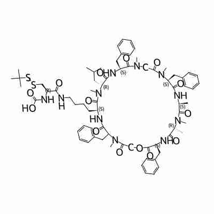 CC(C)C[C@@H]1C(=O)N[C@@H](Cc2ccccc2)C(=O)N(C)CC(=O)N(C)[C@@H](Cc2ccccc2)C(=O)N[C@@H](C)C(=O)N(C)[C@H](C)C(=O)N[C@@H](Cc2ccccc2)C(=O)OCC(=O)N(C)C(Cc2ccccc2)C(=O)N[C@@H](CCCCNC(=O)[C@H](CSSC(C)(C)C)NC(=O)O)C(=O)N1C